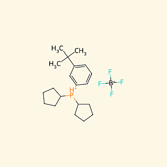 CC(C)(C)c1cccc([PH+](C2CCCC2)C2CCCC2)c1.F[B-](F)(F)F